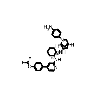 Nc1ccc(N2C[C@@H]3C[C@H](N[C@@H]4CCCC[C@H]4Nc4cc(-c5ccc(OC(F)F)cc5)ccn4)[C@H]2C3)cc1